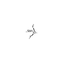 FOF.[SbH3]